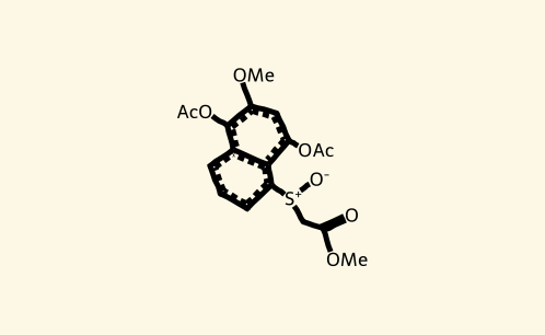 COC(=O)C[S+]([O-])c1cccc2c(OC(C)=O)c(OC)cc(OC(C)=O)c12